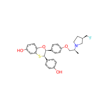 C[C@@H](COc1ccc([C@@H]2Oc3ccc(O)cc3S[C@@H]2c2ccc(O)cc2)cc1)N1CC[C@@H](CF)C1